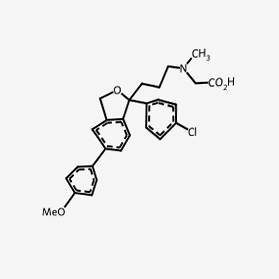 COc1ccc(-c2ccc3c(c2)COC3(CCCN(C)CC(=O)O)c2ccc(Cl)cc2)cc1